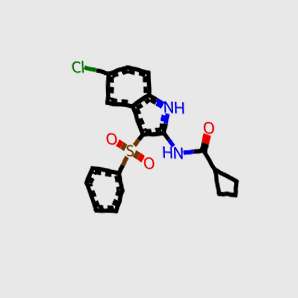 O=C(Nc1[nH]c2ccc(Cl)cc2c1S(=O)(=O)c1ccccc1)C1CCC1